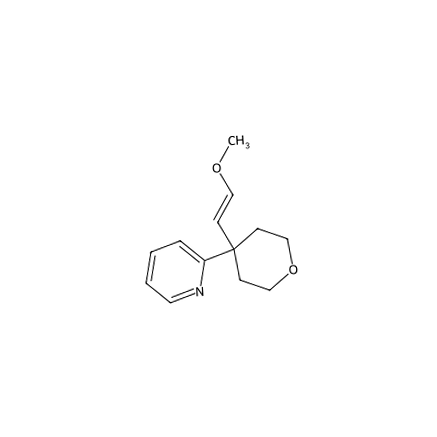 COC=CC1(c2ccccn2)CCOCC1